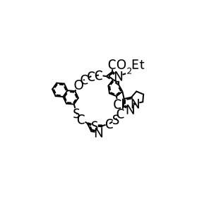 CCOC(=O)c1c2c3ccc(Cl)c(c3n1C)-c1c(nn3c1CCC3)CSCc1ncc(s1)CSc1cc(c3ccccc3c1)OCCC2